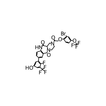 O=C1Nc2ccc(-c3cc(O)cc(C(F)(F)F)c3F)cc2C(=O)N2CCN(C(=O)COc3ccc(OC(F)(F)F)cc3Br)CC12